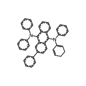 C1=CC(N(c2ccccc2)c2c3ccccc3c(N(c3ccccc3)c3ccccc3)c3cc(-c4ccccc4)ccc23)=CCC1